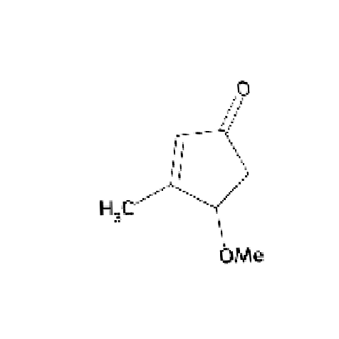 COC1CC(=O)C=C1C